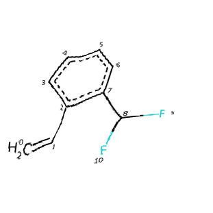 C=Cc1ccccc1C(F)F